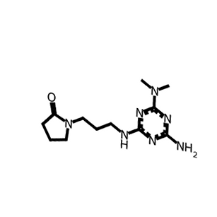 CN(C)c1nc(N)nc(NCCCN2CCCC2=O)n1